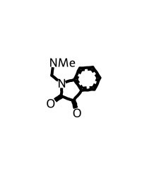 CNCN1C(=O)C(=O)c2ccccc21